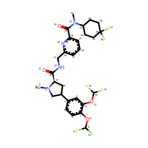 CC(=O)N1CC(c2ccc(OC(F)F)c(OC(F)F)c2)C[C@@H]1C(=O)NCc1cccc(C(=O)N(C)C2CCC(F)(F)CC2)n1